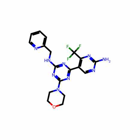 Nc1ncc(-c2nc(NCc3ccccn3)nc(N3CCOCC3)n2)c(C(F)(F)F)n1